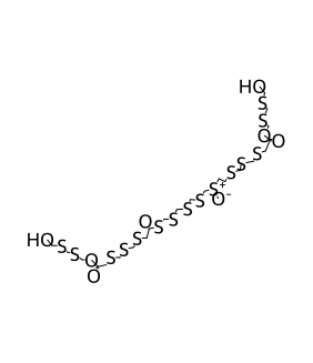 O=C(CSCSCSCC[S+]([O-])CSCSCSCSC(=O)CSCSCSCC(=O)OCSCSCO)OCSCSCO